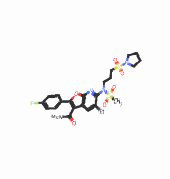 CCc1cc2c(C(=O)NC)c(-c3ccc(F)cc3)oc2nc1N(CCCS(=O)(=O)N1CCCC1)S(C)(=O)=O